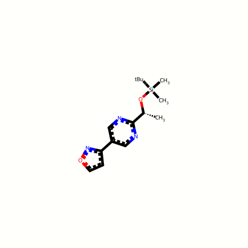 C[C@@H](O[Si](C)(C)C(C)(C)C)c1ncc(-c2ccon2)cn1